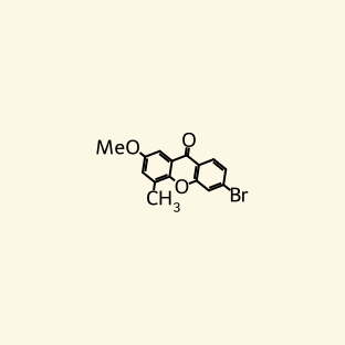 COc1cc(C)c2oc3cc(Br)ccc3c(=O)c2c1